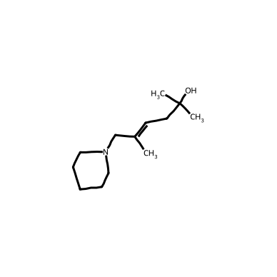 C/C(=C\CC(C)(C)O)CN1CCCCC1